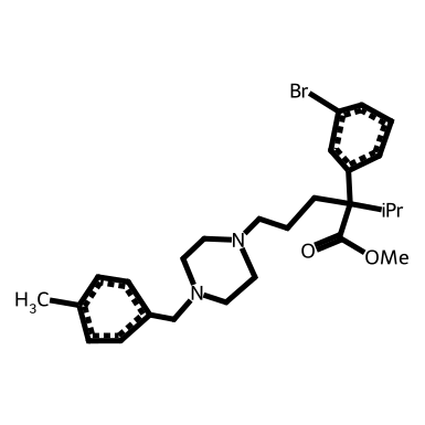 COC(=O)C(CCCN1CCN(Cc2ccc(C)cc2)CC1)(c1cccc(Br)c1)C(C)C